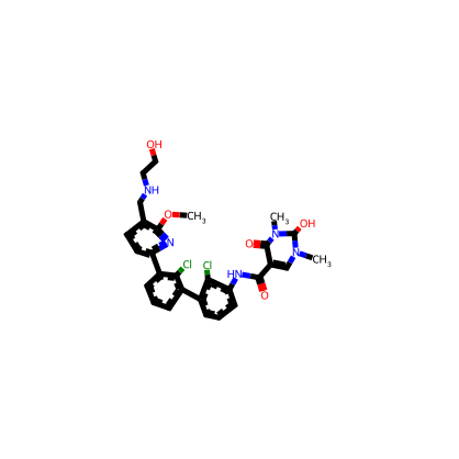 COc1nc(-c2cccc(-c3cccc(NC(=O)C4=CN(C)C(O)N(C)C4=O)c3Cl)c2Cl)ccc1CNCCO